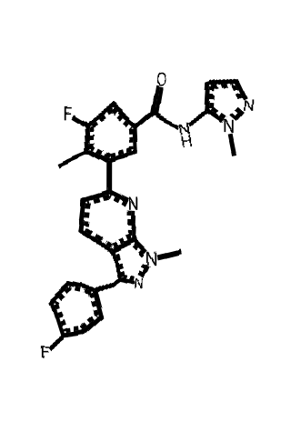 Cc1c(F)cc(C(=O)Nc2ccnn2C)cc1-c1ccc2c(-c3ccc(F)cc3)nn(C)c2n1